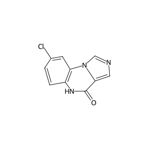 O=c1[nH]c2ccc(Cl)cc2n2cncc12